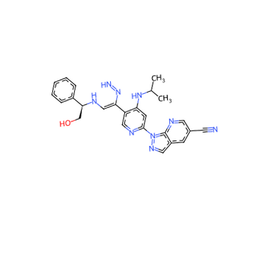 CC(C)Nc1cc(-n2ncc3cc(C#N)cnc32)ncc1/C(=C/N[C@@H](CO)c1ccccc1)N=N